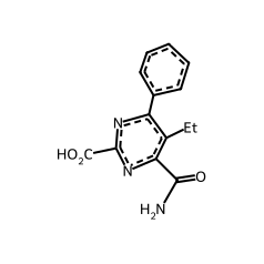 CCc1c(C(N)=O)nc(C(=O)O)nc1-c1ccccc1